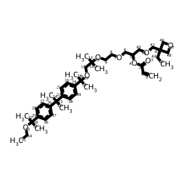 C=CC(=O)OC(COCCOC(C)(C)COC(C)(C)c1ccc(C(C)(C)c2ccc(C(C)(C)OCC)cc2)cc1)COCC1(CC)COC1